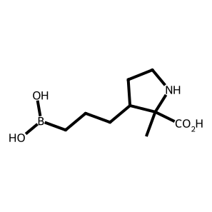 CC1(C(=O)O)NCCC1CCCB(O)O